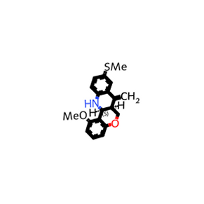 C=C1c2cc(SC)ccc2N[C@@H]2c3c(OC)cccc3OC[C@H]12